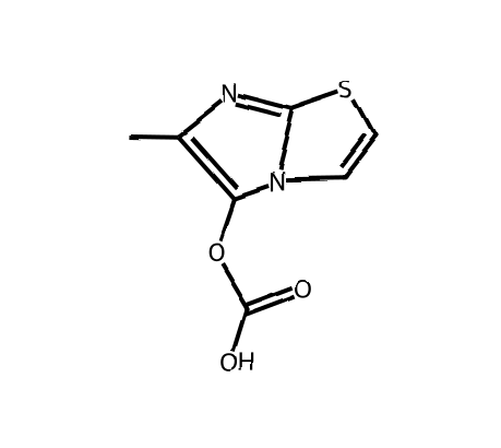 Cc1nc2sccn2c1OC(=O)O